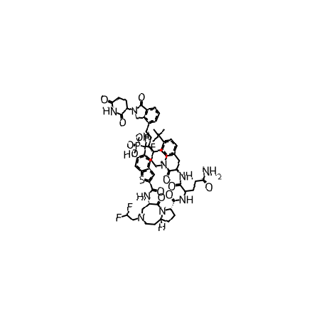 CC(C)(C)c1ccc(CC(NC(=O)C(CCC(N)=O)NC(=O)[C@@H]2CC[C@@H]3CCN(CC(F)F)C[C@H](NC(=O)c4cc5cc(C(F)(F)P(=O)(O)O)ccc5s4)C(=O)N32)C(=O)N2CCC(CCCc3cccc4c3CN(C3CCC(=O)NC3=O)C4=O)CC2)cc1